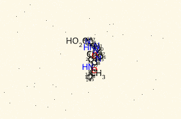 Cc1ccc2c(NC(=O)CC3(C)CCCCC3)cccc2c1Oc1ncccc1-c1ccnc(N[C@H]2CCCN(C(=O)O)C2)n1